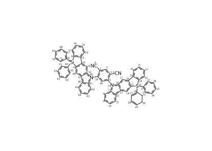 N#Cc1cc(C#N)c(-n2c3ccccc3c3cc4c(cc32)-c2ccccc2S4(C2=CC=CCC2)c2ccccc2)cc1-n1c2ccccc2c2cc3c(cc21)-c1ccccc1[Si]3(c1ccccc1)c1ccccc1